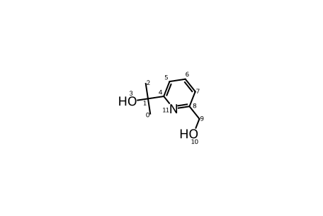 CC(C)(O)c1cccc(CO)n1